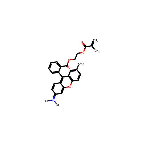 C=C(C)C(=O)OCCOC(=O)c1ccccc1-c1c2ccc(=[N+](CC)CC)cc-2oc2ccc(SC)cc12